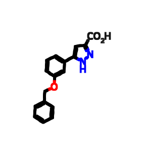 O=C(O)c1cc(-c2cccc(OCc3ccccc3)c2)[nH]n1